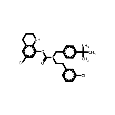 CC(C)(C)c1ccc(CN(CCc2cccc(Cl)c2)C(=O)Oc2cc(Br)cc3c2NCCC3)cc1